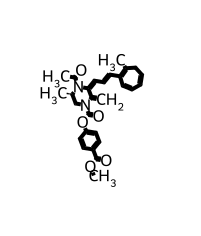 C=C1/C(=C\C=C\C2=C(C)CC=CC=C2)N(C(C)=O)[C@@H](C)CN1C(=O)Oc1ccc(C(=O)OC)cc1